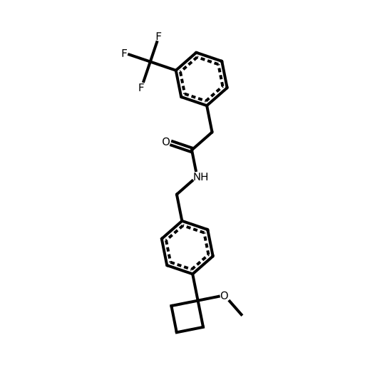 COC1(c2ccc(CNC(=O)Cc3cccc(C(F)(F)F)c3)cc2)CCC1